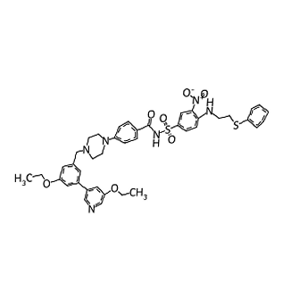 CCOc1cncc(-c2cc(CN3CCN(c4ccc(C(=O)NS(=O)(=O)c5ccc(NCCSc6ccccc6)c([N+](=O)[O-])c5)cc4)CC3)cc(OCC)c2)c1